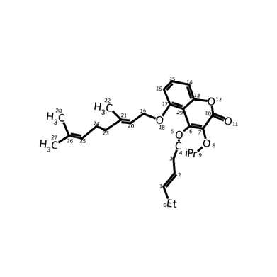 CCC=CCCOc1c(OC(C)C)c(=O)oc2cccc(OC/C=C(\C)CCC=C(C)C)c12